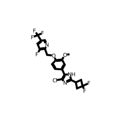 COc1cc(-c2[nH]c(C3CC(F)(F)C3)nc2Cl)ccc1OCc1ncc(C(F)(F)F)cc1F